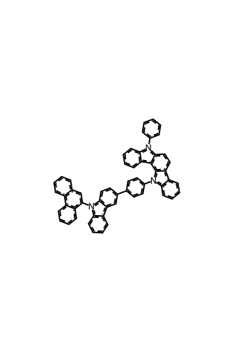 c1ccc(-n2c3ccccc3c3c2ccc2c4ccccc4n(-c4ccc(-c5ccc6c(c5)c5ccccc5n6-c5cc6ccccc6c6ccccc56)cc4)c23)cc1